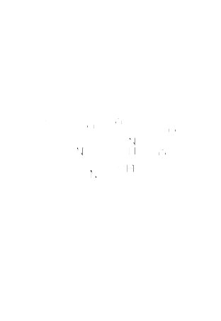 O=C(O)CNC(=O)c1c(O)nc(-c2ccccc2)n(C2CCCCC2)c1=O